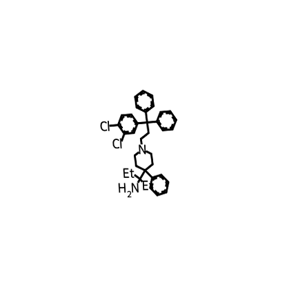 CCC(N)(CC)C1(c2ccccc2)CCN(CCC(c2ccccc2)(c2ccccc2)c2ccc(Cl)c(Cl)c2)CC1